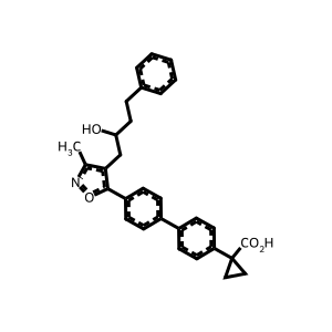 Cc1noc(-c2ccc(-c3ccc(C4(C(=O)O)CC4)cc3)cc2)c1CC(O)CCc1ccccc1